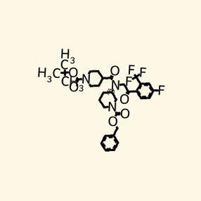 CC(C)(C)OC(=O)N1CCC(C(=O)N(CC(=O)c2ccc(F)cc2C(F)(F)F)[C@@H]2CCCN(C(=O)OCc3ccccc3)C2)CC1